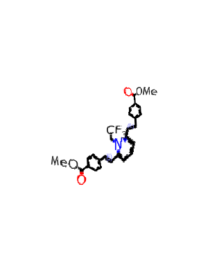 COC(=O)c1ccc(/C=C/c2cccc(/C=C/c3ccc(C(=O)OC)cc3)[n+]2CC(F)(F)F)cc1